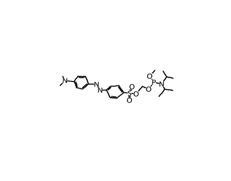 COP(OCOS(=O)(=O)c1ccc(/N=N/c2ccc(N(C)C)cc2)cc1)N(C(C)C)C(C)C